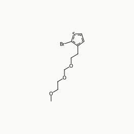 COCCOCOCCc1ccsc1Br